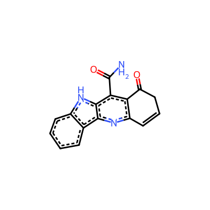 NC(=O)c1c2c(nc3c1[nH]c1ccccc13)C=CCC2=O